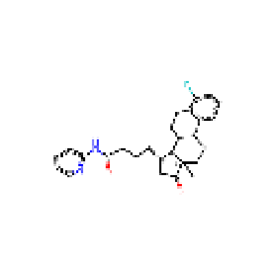 C[C@]12CCC3c4cccc(F)c4CCC3C1[C@H](CCCC(=O)Nc1ccccn1)CC2=O